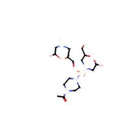 BC1CNCC(COP(=O)(N2CCN(C(C)=O)CC2)N2CC(B)OC(CO)C2)O1